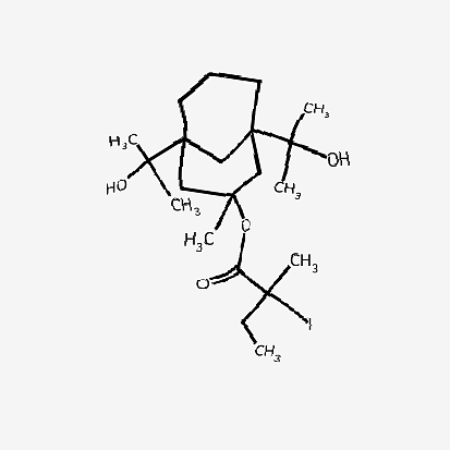 CCC(C)(I)C(=O)OC1(C)CC2(C(C)(C)O)CCCC(C(C)(C)O)(C1)C2